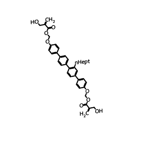 C=C(CO)C(=O)OCOc1ccc(-c2ccc(-c3ccc(-c4ccc(OCOC(=O)C(=C)CO)cc4)cc3CCCCCCC)cc2)cc1